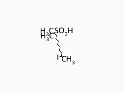 CC(I)CCCCCCCC(C)(C)S(=O)(=O)O